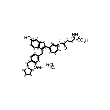 COc1cc(Cc2c(-c3cccc(NC(=O)CC[C@H](N)C(=O)O)c3)sc3cc(O)ccc23)ccc1CN1CCCC1.Cl.Cl